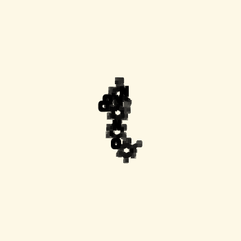 Cc1cccc(OC2CCN(c3ccc(-n4c(C)nc(C)cc4=O)c(Cl)c3)CC2)c1